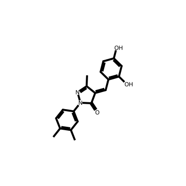 CC1=NN(c2ccc(C)c(C)c2)C(=O)/C1=C/c1ccc(O)cc1O